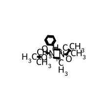 C[C@@H]1CN(C(=O)OC(C)(C)C)[C@H](c2ccccc2)CN1C(=O)C(C)(C)C